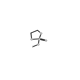 O=P1(OI)OCCO1